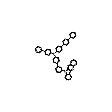 c1ccc(-c2ccc(-c3ccc(N(c4ccc(-c5ccccc5)cc4)c4ccc(-c5cccc(-n6c7ccccc7c7nc8ccccc8nc76)c5)cc4)cc3)cc2)cc1